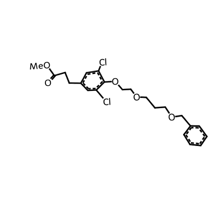 COC(=O)CCc1cc(Cl)c(OCCOCCCOCc2ccccc2)c(Cl)c1